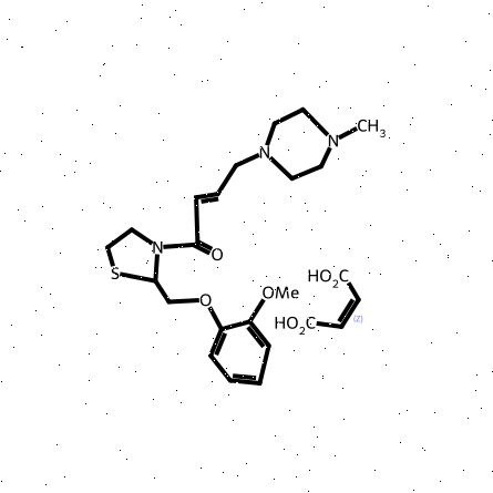 COc1ccccc1OCC1SCCN1C(=O)C=CCN1CCN(C)CC1.O=C(O)/C=C\C(=O)O